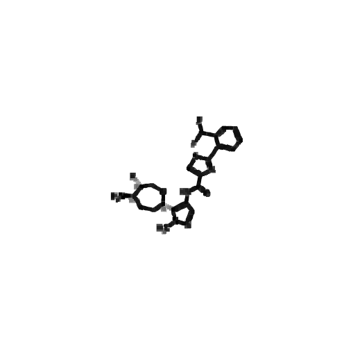 Cn1ncc(NC(=O)c2csc(-c3ccccc3C(F)F)n2)c1[C@@H]1CC[C@@H](N)[C@H](F)CO1